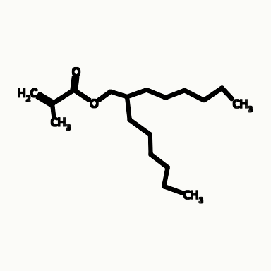 C=C(C)C(=O)OCC(CCCCCC)CCCCCC